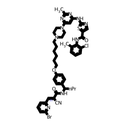 CCCC(NC(=O)/C(C#N)=C/c1cccc(Br)n1)c1ccc(OCCCCCCN2CCN(c3cc(Nc4ncc(C(=O)Nc5c(C)cccc5Cl)s4)nc(C)n3)CC2)cc1